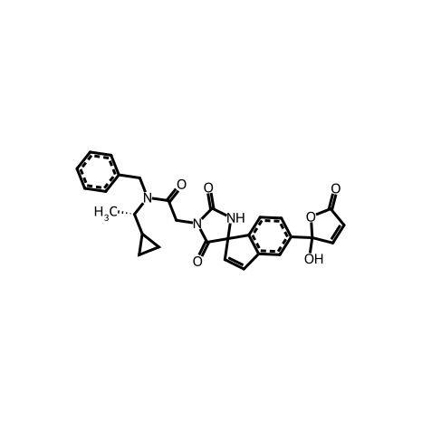 C[C@@H](C1CC1)N(Cc1ccccc1)C(=O)CN1C(=O)NC2(C=Cc3cc(C4(O)C=CC(=O)O4)ccc32)C1=O